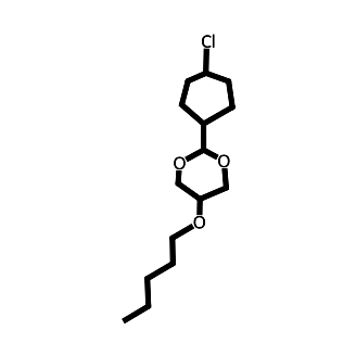 CCCCCOC1COC(C2CCC(Cl)CC2)OC1